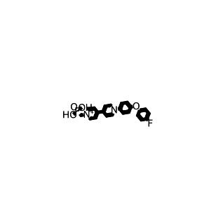 O=P(O)(O)C[n+]1ccc(-c2cc[n+](-c3ccc(Oc4ccc(F)cc4)cc3)cc2)cc1